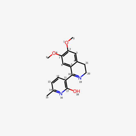 COc1cc2c(cc1OC)C(c1ccc(C)nc1O)=NCC2